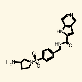 NC1CCN(S(=O)(=O)c2ccc(CNC(=O)c3cc4cnccc4[nH]3)cc2)C1